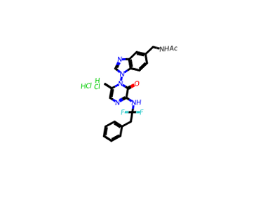 CC(=O)NCc1ccc2c(c1)ncn2-n1c(C)cnc(NC(F)(F)Cc2ccccc2)c1=O.Cl.Cl